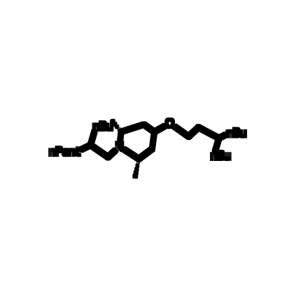 CCCCCC(CCCC)CN1[C@H](C)CC(OCCC(CCCC)CCCC)C[C@@H]1C